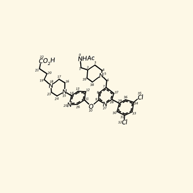 CC(=O)NCC1CCN(Cc2cc(Oc3ccc(N4CCN(CCCC(=O)O)CC4)nc3)nc(-c3cc(Cl)cc(Cl)c3)c2)CC1